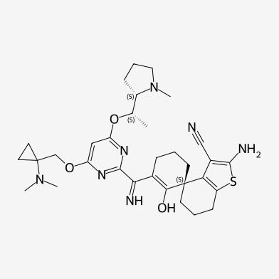 C[C@H](Oc1cc(OCC2(N(C)C)CC2)nc(C(=N)C2=C(O)[C@@]3(CCC2)CCCc2sc(N)c(C#N)c23)n1)[C@@H]1CCCN1C